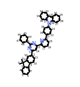 CC1(C)c2ccccc2-c2ccc(-c3cc(-c4cccc(-c5ccc(-n6c7ccccc7c7ccccc76)cc5)n4)nc(-c4ccccc4)n3)cc21